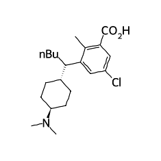 CCCCC(c1cc(Cl)cc(C(=O)O)c1C)[C@H]1CC[C@H](N(C)C)CC1